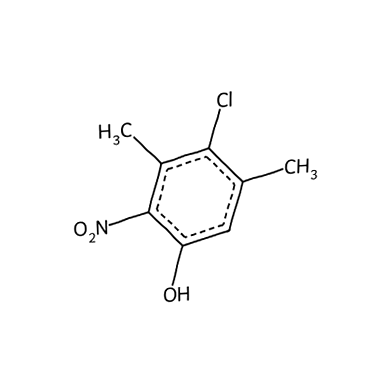 Cc1cc(O)c([N+](=O)[O-])c(C)c1Cl